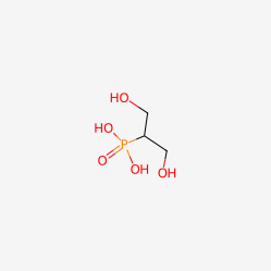 O=P(O)(O)C(CO)CO